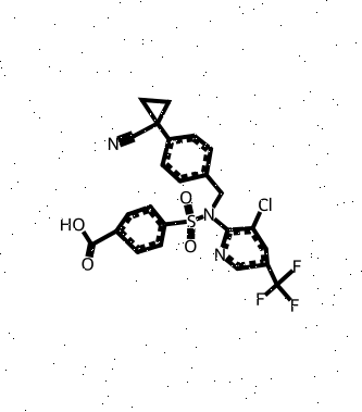 N#CC1(c2ccc(CN(c3ncc(C(F)(F)F)cc3Cl)S(=O)(=O)c3ccc(C(=O)O)cc3)cc2)CC1